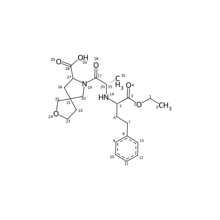 CCOC(=O)C(CCc1ccccc1)N[C@@H](C)C(=O)N1CC2(CCOC2)CC1C(=O)O